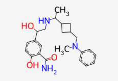 CC(NCC(O)c1ccc(O)c(C(N)=O)c1)C1CC(CN(C)c2ccccc2)C1